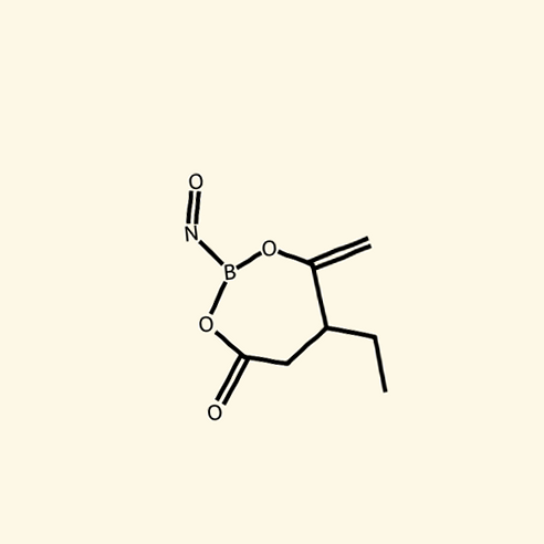 C=C1OB(N=O)OC(=O)CC1CC